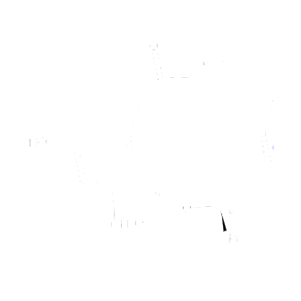 CC(C)[C@@H]1C/C=C/CC/C=C/C(=O)Cc2cc(O)cc(O)c2C(=O)O1